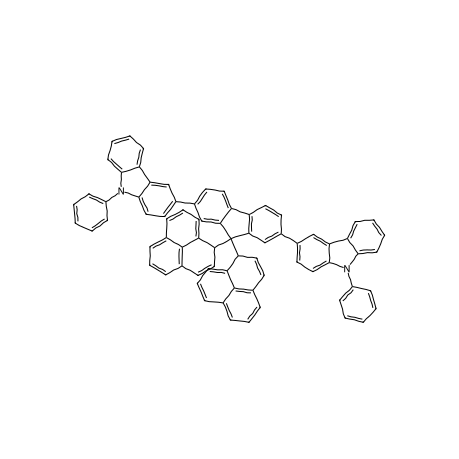 C1=CC(C2(C3C=Cc4cccc5cccc3c45)c3cc(-c4ccc5c(c4)c4ccccc4n5-c4ccccc4)ccc3-c3ccc(-c4ccc5c(c4)c4ccccc4n5-c4ccccc4)cc32)c2cccc3cccc1c23